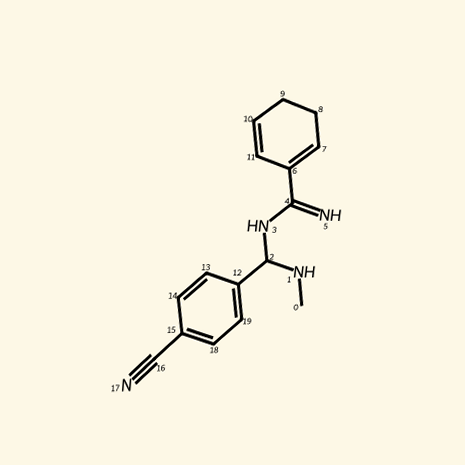 CNC(NC(=N)C1=CCCC=C1)c1ccc(C#N)cc1